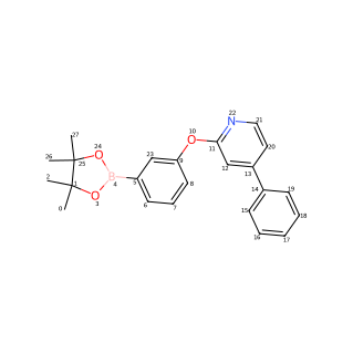 CC1(C)OB(c2cccc(Oc3cc(-c4ccccc4)ccn3)c2)OC1(C)C